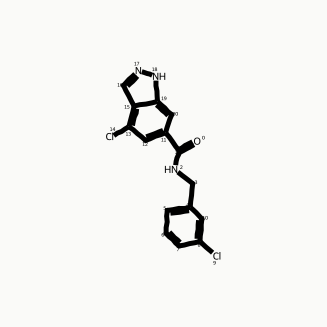 O=C(NCc1cccc(Cl)c1)c1cc(Cl)c2cn[nH]c2c1